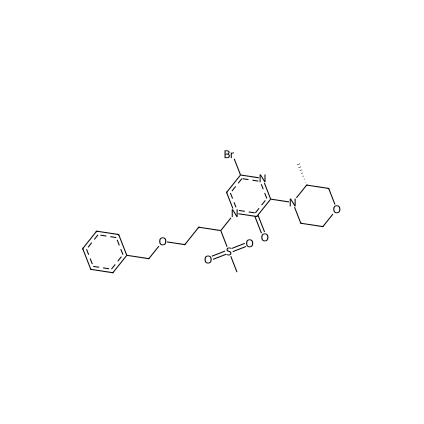 C[C@@H]1COCCN1c1nc(Br)cn(C(CCOCc2ccccc2)S(C)(=O)=O)c1=O